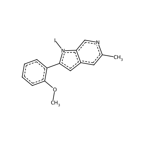 COc1ccccc1-c1cc2cc(C)ncc2n1I